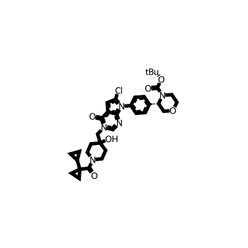 CC(C)(C)OC(=O)N1CCOC[C@@H]1c1ccc(-n2c(Cl)cc3c(=O)n(CC4(O)CCN(C(=O)C5(C6CC6)CC5)CC4)cnc32)cc1